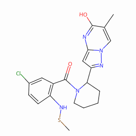 CSNc1ccc(Cl)cc1C(=O)N1CCCCC1c1cc2nc(O)c(C)cn2n1